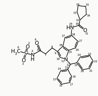 CS(=O)(=O)NC(=O)CCc1cn(C(c2ccccc2)c2ccccc2)c2ccc(NC(=O)C3CCCC3)cc12